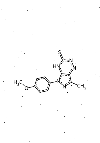 COc1ccc(-n2nc(C)c3nnc(=S)[nH]c32)cc1